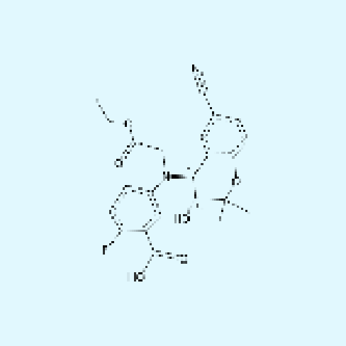 CCOC(=O)CN(c1ccc(F)c(C(=O)O)c1)[C@H]1c2cc(C#N)ccc2OC(C)(C)[C@@H]1O